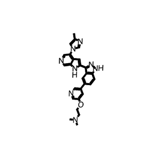 Cc1cn(-c2cncc3[nH]c(-c4n[nH]c5ccc(-c6cncc(OCCN(C)C)c6)cc45)cc23)cn1